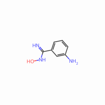 N=C(NO)c1cccc(N)c1